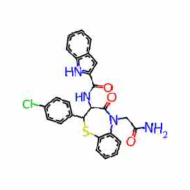 NC(=O)CN1C(=O)C(NC(=O)c2cc3ccccc3[nH]2)C(c2ccc(Cl)cc2)Sc2ccccc21